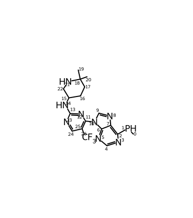 CPc1ncnc2c1ncn2-c1nc(NC2CCC(C)(C)NC2)ncc1C(F)(F)F